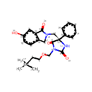 C[Si](C)(C)CCOCN1C(=O)N[C@@](CN2Cc3ccc(O)cc3C2=O)(c2ccccc2)C1=O